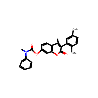 COc1ccc(OC)c(-c2c(C)c3ccc(OC(=O)N(C)c4ccccc4)cc3oc2=O)c1